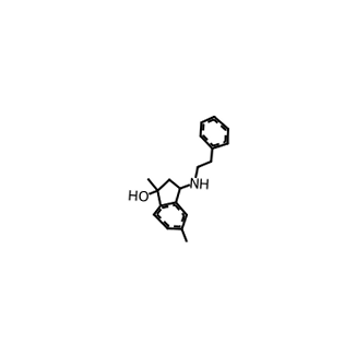 Cc1ccc2c(c1)C(NCCc1ccccc1)CC2(C)O